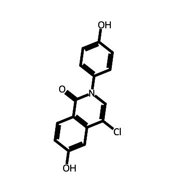 O=c1c2ccc(O)cc2c(Cl)cn1-c1ccc(O)cc1